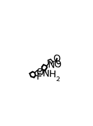 COC(=O)[C@@H]1CCC(c2ccc(OCc3ccccc3F)c(N)c2)=N1